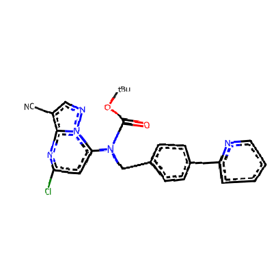 CC(C)(C)OC(=O)N(Cc1ccc(-c2ccccn2)cc1)c1cc(Cl)nc2c(C#N)cnn12